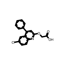 O=C(O)COc1cc(-c2ccccc2)c2cc(Cl)ccc2n1